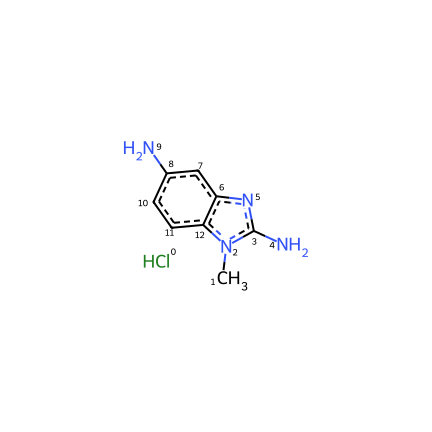 Cl.Cn1c(N)nc2cc(N)ccc21